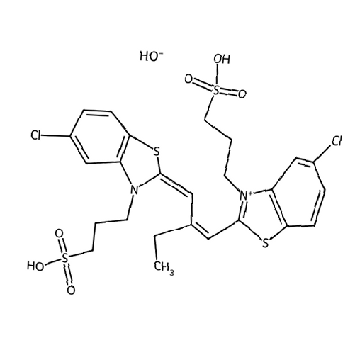 CCC(=Cc1sc2ccc(Cl)cc2[n+]1CCCS(=O)(=O)O)C=C1Sc2ccc(Cl)cc2N1CCCS(=O)(=O)O.[OH-]